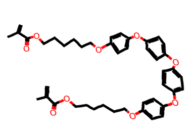 C=C(C)C(=O)OCCCCCCOc1ccc(Oc2ccc(Oc3ccc(Oc4ccc(OCCCCCCOC(=O)C(=C)C)cc4)cc3)cc2)cc1